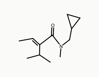 C/C=C(/C(=O)N(C)CC1CC1)C(C)C